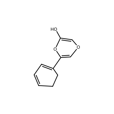 OC1=COC=C(C2=CC=CCC2)O1